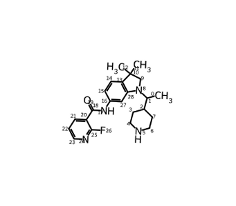 CC(C1CCNCC1)N1CC(C)(C)c2ccc(NC(=O)c3cccnc3F)cc21